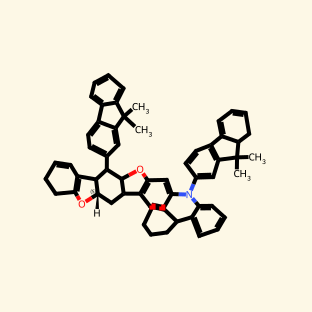 CC1(C)c2ccccc2-c2ccc(C3C4Oc5cc(N(c6ccc7c(c6)C(C)(C)C6CC=CC=C76)c6ccccc6C6CCCCC6)ccc5C4C[C@@H]4OC5=C(C=CCC5)C34)cc21